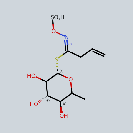 C=CC/C(=N/OS(=O)(=O)O)S[C@@H]1OC(C)[C@@H](O)[C@H](O)C1O